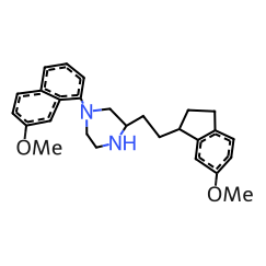 COc1ccc2c(c1)C(CCC1CN(c3cccc4ccc(OC)cc34)CCN1)CC2